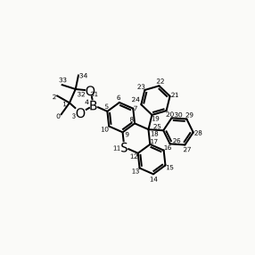 CC1(C)OB(c2ccc3c(c2)Sc2ccccc2C3(c2ccccc2)c2ccccc2)OC1(C)C